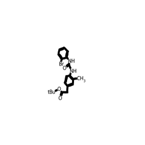 Cc1cc(CC(=O)OC(C)(C)C)ccc1NC(=O)Nc1ccccc1Br